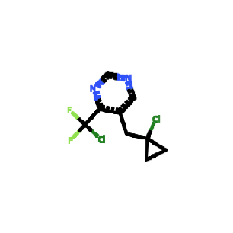 FC(F)(Cl)c1ncncc1CC1(Cl)CC1